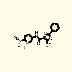 [CH2]C(C)N(C)c1ccc(NC(=O)c2nc(-c3ccccc3)oc2C(F)(F)F)cn1